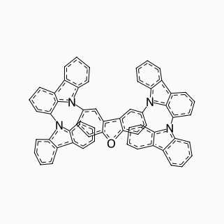 c1ccc2c(c1)c1ccccc1n2-c1cccc2c3ccccc3n(-c3ccc4oc5ccc(-n6c7ccccc7c7cccc(-n8c9ccccc9c9ccccc98)c76)cc5c4c3)c12